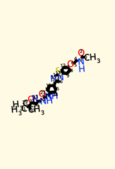 CC(=O)NCCOc1ccc2c(c1)sc1nc(-c3ccc(NC(=O)Nc4cc(C(C)(C)C)on4)cc3)cn12